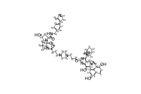 C#Cc1c(O)ccc2cc(O)cc(-c3ncc4c(N5CC6CCC(C5)N6)nc(OCCCN5CCN(CCCC(=O)N[C@H](C(=O)N6C[C@H](O)C[C@H]6C(=O)NCc6ccc(C7=C(C)N=CC7)cc6)C(C)(C)C)CC5)nc4c3O)c12